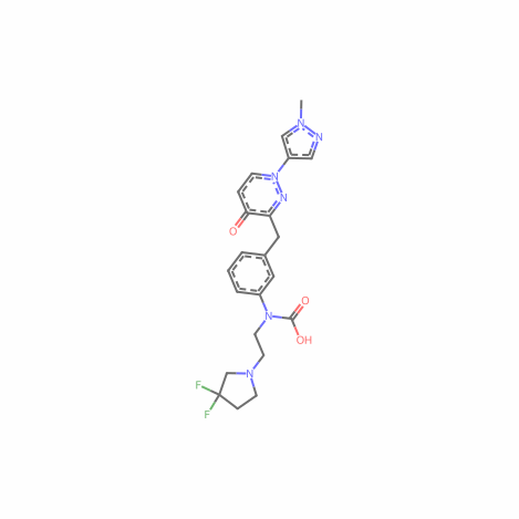 Cn1cc(-n2ccc(=O)c(Cc3cccc(N(CCN4CCC(F)(F)C4)C(=O)O)c3)n2)cn1